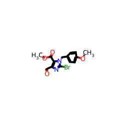 COC(=O)c1c(C=O)nc(Br)n1Cc1ccc(OC)cc1